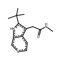 CNC(=O)Cc1c(C(C)(C)C)[nH]c2cnccc12